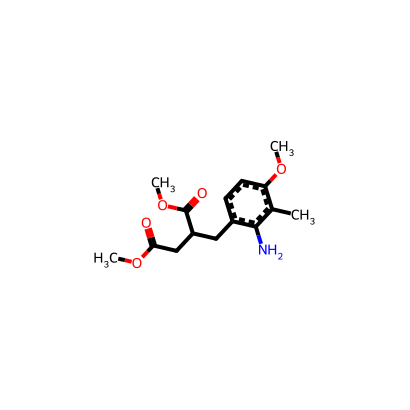 COC(=O)CC(Cc1ccc(OC)c(C)c1N)C(=O)OC